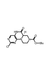 CC(C)(C)OC(=O)N1CCN2c3nc(Cl)ncc3NC(=O)[C@H]2C1